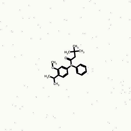 COc1cc(N(C(=O)CC(C)(C)C)c2ccccc2)ccc1C(C)C